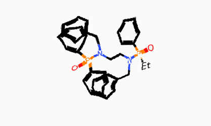 CC[P@@](=O)(c1ccccc1)N(CCN(Cc1ccccc1)P(=O)(c1ccccc1)c1ccccc1)Cc1ccccc1